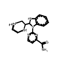 NC(=O)c1ccnc(N2c3ccccc3NC2C2CNCCN2)n1